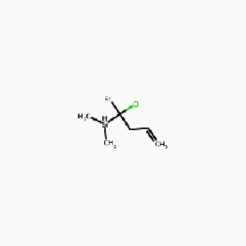 C=CCC(Cl)(CC)[SiH](C)C